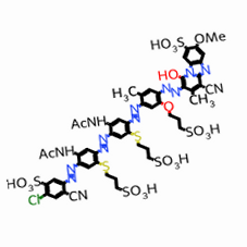 COc1cc2nc3c(C#N)c(C)c(N=Nc4cc(C)c(N=Nc5cc(NC(C)=O)c(N=Nc6cc(NC(C)=O)c(N=Nc7cc(S(=O)(=O)O)c(Cl)cc7C#N)cc6SCCCS(=O)(=O)O)cc5SCCCS(=O)(=O)O)cc4OCCCS(=O)(=O)O)c(O)n3c2cc1S(=O)(=O)O